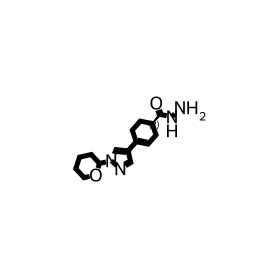 NNC(=O)[C@H]1CC=C(c2cnn(C3CCCCO3)c2)CC1